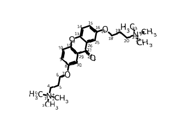 C[N+](C)(C)CCCOc1ccc2oc3ccc(OCCC[N+](C)(C)C)cc3c(=O)c2c1